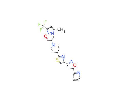 Cc1cc(C(F)(F)F)nn1CC(C=O)N1CCC(c2nc(C3=NOC(c4ccccn4)C3)cs2)CC1